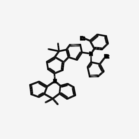 CCc1ccccc1N(c1ccc2c(c1)-c1cc(N3c4ccccc4C(C)(C)c4ccccc43)ccc1C2(C)C)c1ccccc1CC